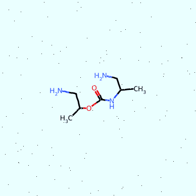 CC(CN)NC(=O)OC(C)CN